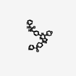 O=C(Nc1ccc(-c2nc(N3CCOCC3)c3cnn(C4CCN(C(=O)c5cccnc5)CC4)c3n2)cc1)Nc1ccccn1